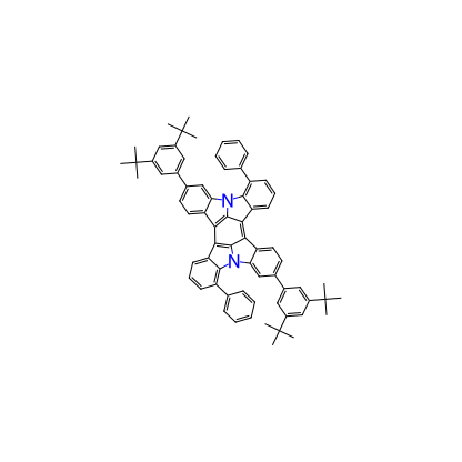 CC(C)(C)c1cc(-c2ccc3c4c5c6cccc(-c7ccccc7)c6n6c7cc(-c8cc(C(C)(C)C)cc(C(C)(C)C)c8)ccc7c(c7c8cccc(-c9ccccc9)c8n(c3c2)c47)c56)cc(C(C)(C)C)c1